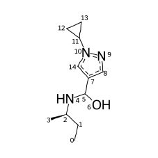 CC[C@@H](C)NC(O)c1cnn(C2CC2)c1